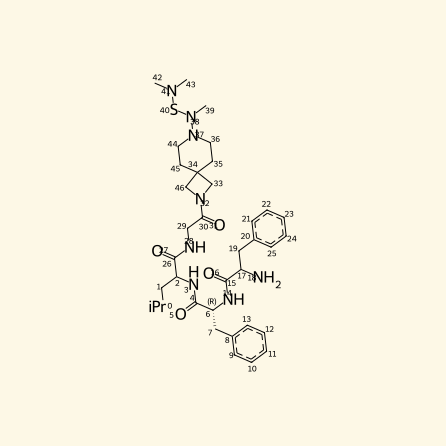 CC(C)CC(NC(=O)[C@@H](Cc1ccccc1)NC(=O)C(N)Cc1ccccc1)C(=O)NCC(=O)N1CC2(CCN(N(C)SN(C)C)CC2)C1